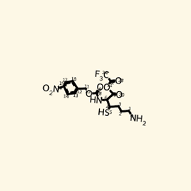 NCCCC(S)C(NC(=O)OCc1ccc([N+](=O)[O-])cc1)C(=O)OC(=O)C(F)(F)F